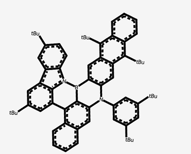 CC(C)(C)c1cc(N2c3cc4c(C(C)(C)C)c5ccccc5c(C(C)(C)C)c4cc3B3c4c2cc2ccccc2c4-c2cc(C(C)(C)C)cc4c5cc(C(C)(C)C)ccc5n3c24)cc(C(C)(C)C)c1